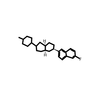 CC1CCC(C2CC[C@@H]3C[C@H](c4ccc5cc(F)ccc5c4)CC[C@@H]3C2)CC1